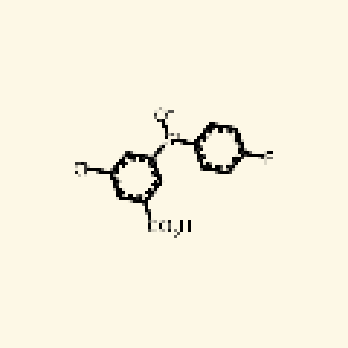 O=C(O)c1cc(Cl)cc([S+]([O-])c2ccc(F)cc2)c1